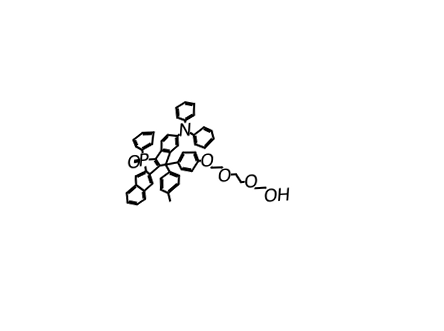 Cc1ccc(C2(c3ccc(OCCOCCOCCO)cc3)C3=C(c4ccc(N(c5ccccc5)c5ccccc5)cc42)P(=O)(c2ccccc2)c2cc4ccccc4cc23)cc1